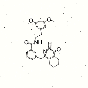 COc1cc(CCNC(=O)c2cccc(Cc3n[nH]c(=O)c4c3CCCC4)c2)cc(OC)c1